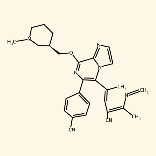 C=N/C(C)=C(C#N)\C=C(/C)c1c(-c2ccc(C#N)cc2)nc(OC[C@@H]2CCCN(C)C2)c2nccn12